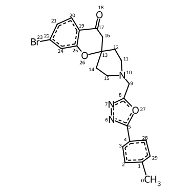 Cc1ccc(-c2nnc(CN3CCC4(CC3)CC(=O)c3ccc(Br)cc3O4)o2)cc1